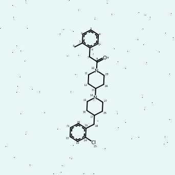 Cc1ccccc1CC(=O)N1CCC(N2CCC(Cc3ccccc3Cl)CC2)CC1